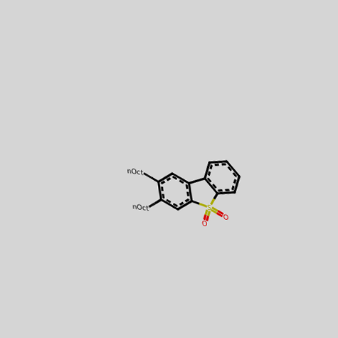 CCCCCCCCc1cc2c(cc1CCCCCCCC)S(=O)(=O)c1ccccc1-2